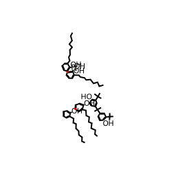 CC(C)(C)c1cc(C(C)(C)c2ccc(O)c(C(C)(C)C)c2)ccc1O.CCCCCCCCCc1ccccc1O.CCCCCCCCCc1ccccc1O.CCCCCCCCCc1ccccc1P(O)(O)(O)c1ccccc1CCCCCCCCC